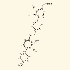 CCCCCCOc1ccc(C2CCC(CCc3ccc(C4=CCC(C)CC4)c(F)c3F)CC2)c(F)c1F